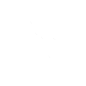 Nc1ccc(N[C@@H]2CCN(C(=O)O)C2)nn1